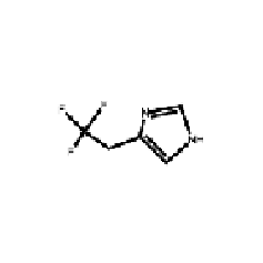 FC(F)(F)Cc1c[nH]cn1